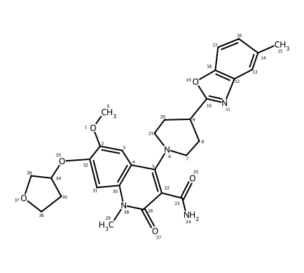 COc1cc2c(N3CCC(c4nc5cc(C)ccc5o4)CC3)c(C(N)=O)c(=O)n(C)c2cc1OC1CCOC1